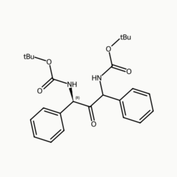 CC(C)(C)OC(=O)NC(C(=O)[C@H](NC(=O)OC(C)(C)C)c1ccccc1)c1ccccc1